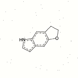 c1cc2cc3c(cc2[nH]1)CCO3